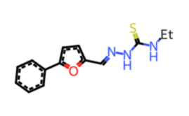 CCNC(=S)N/N=C/c1ccc(-c2ccccc2)o1